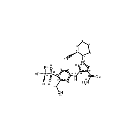 N#C[C@H]1CCCC[C@@H]1n1cc(C(N)=O)c(Nc2ccc(S(=O)(=O)C(F)(F)F)c(CO)c2)n1